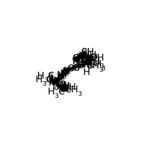 CCC(C)n1ncc2c(C(=O)NCc3c(C)cc(C)[nH]c3=O)cc(-c3ccc(N4CCN(CCOCCOCCOCC(=O)NC(C(=O)N5C[C@H](O)C[C@H]5C(=O)NC(C)c5ccc(-c6scnc6C)cc5)C(C)(C)C)CC4)nc3)cc21